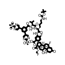 CC(C)[C@H](NC(=O)c1cc(-c2cnc(S(C)(=O)=O)nc2)cc(-c2cnc(S(C)(=O)=O)nc2)c1)C(=O)N[C@@H](CCCCNC(=O)OC(C)(C)C)C(=O)Nc1cc(C(=O)O[C@]2(C(=O)SCF)CC[C@H]3[C@@H]4C[C@H](F)C5=CC(=O)C=C[C@]5(C)[C@@]4(F)[C@@H](O)C[C@@]32C)ccc1F